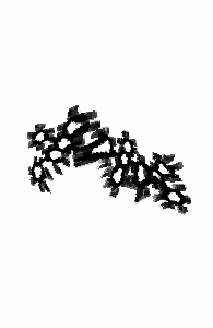 c1ccc(-c2ccc3c(-c4ccc(-c5c6ccccc6c(-c6ccc7c(c6)c6ccccc6n7-c6ccccc6)c6ccccc56)cc4)c4ccccc4c(-c4ccccc4)c3c2)cc1